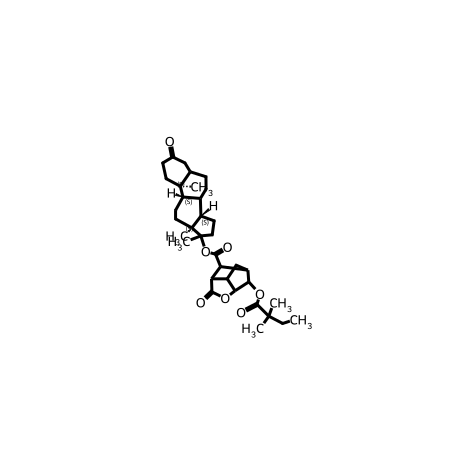 CCC(C)(C)C(=O)OC1C2CC3C1OC(=O)C3C2C(=O)OC1(C)CC[C@H]2C3CCC4CC(=O)CC[C@]4(C)[C@H]3CC[C@@]21C